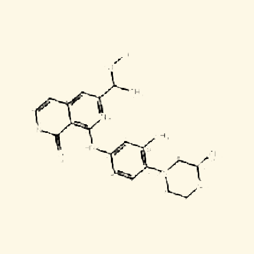 CCOC(C)c1cc2cc[nH]c(=O)c2c(Nc2ccc(N3CCO[C@H](C)C3)c(C)c2)n1